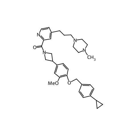 COc1cc(C2CN(C(=O)c3cc(CCCN4CCN(C)CC4)ccn3)C2)ccc1OCc1ccc(C2CC2)cc1